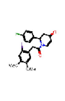 COc1cc(I)c(CC(=O)N2C=CC(=O)CC2c2ccc(F)cc2)cc1OC